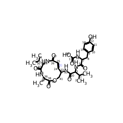 CC(C)C(NC(=O)C(Cc1ccc(O)cc1)NC(=O)O)C(=O)N[C@@H]1/C=C/C(=O)N[C@@H](C(C)C)C(=O)N[C@@H](C)C(=O)OC1